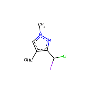 Cn1cc(C=O)c(C(Cl)I)n1